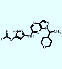 CC(C1CCOCC1)n1ncc2ncc(Nc3cc(OC(F)F)[nH]n3)nc21